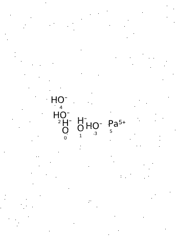 [OH-].[OH-].[OH-].[OH-].[OH-].[Pa+5]